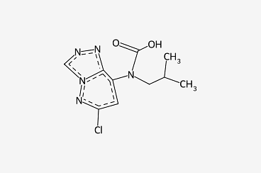 CC(C)CN(C(=O)O)c1cc(Cl)nn2cnnc12